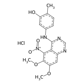 COc1cc2ncnc(Nc3ccc(C)c(O)c3)c2c([N+](=O)[O-])c1OC.Cl